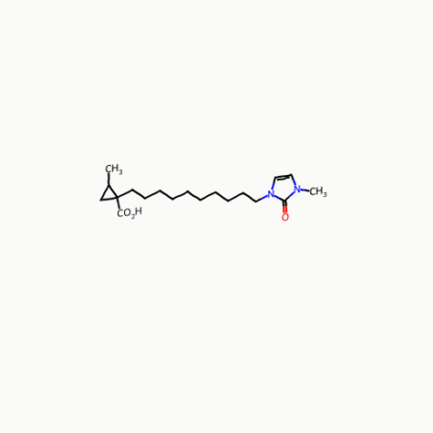 CC1CC1(CCCCCCCCCCn1ccn(C)c1=O)C(=O)O